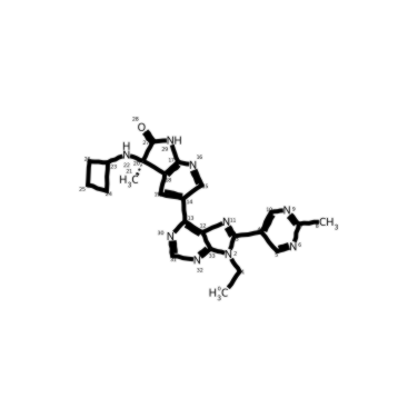 CCn1c(-c2cnc(C)nc2)nc2c(-c3cnc4c(c3)[C@@](C)(NC3CCC3)C(=O)N4)ncnc21